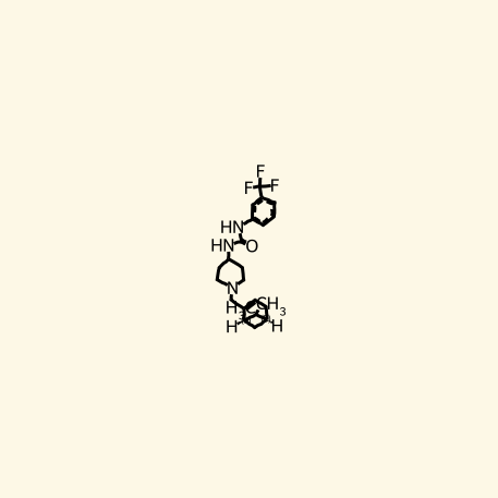 CC1(C)[C@H]2CC=C(CN3CCC(NC(=O)Nc4cccc(C(F)(F)F)c4)CC3)[C@H]1C2